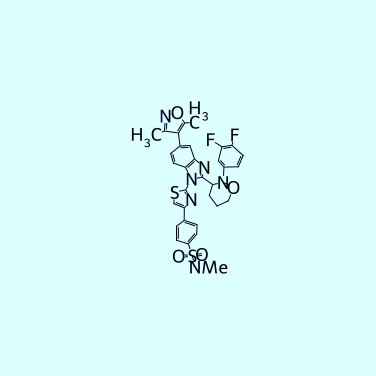 CNS(=O)(=O)c1ccc(-c2csc(-n3c(C4CCCON4c4ccc(F)c(F)c4)nc4cc(-c5c(C)noc5C)ccc43)n2)cc1